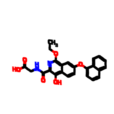 CCOc1nc(C(=O)NCC(=O)O)c(O)c2ccc(Oc3cccc4ccccc34)cc12